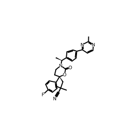 Cc1nccc(-c2ccc([C@H](C)N3CC[C@@](CC(C)(C)C#N)(c4ccc(F)cc4)OC3=O)cc2)n1